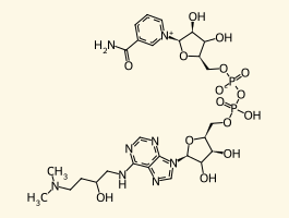 CN(C)CCC(O)CNc1ncnc2c1ncn2[C@H]1O[C@@H](COP(=O)(O)OP(=O)([O-])OC[C@H]2O[C@@H]([n+]3cccc(C(N)=O)c3)[C@@H](O)C2O)[C@@H](O)C1O